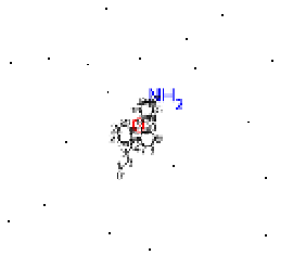 CCCCCC1(c2ccccc2Oc2ccc(N)cc2)CCCCC1